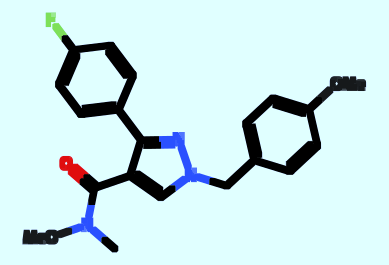 COc1ccc(Cn2cc(C(=O)N(C)OC)c(-c3ccc(F)cc3)n2)cc1